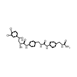 CC(C)N(CC(O)c1ccc(Cl)c(Cl)c1)C(=O)Nc1ccc(CNC(=O)Nc2ccc(CNC(N)=O)cc2)cc1